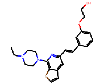 CCN1CCN(c2nc(C=Cc3cccc(OCCO)c3)cc3ccsc23)CC1